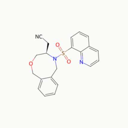 N#CC[C@@H]1COCc2ccccc2CN1S(=O)(=O)c1cccc2cccnc12